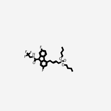 CCCCOP(=O)(CC=CCc1cc(F)cc2c1-c1ccc(F)cc1C2C(=O)NCC(F)(F)F)OCCCC